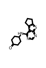 O=C1CCC(Nc2ncnc3sc4c(c23)CCC4)CC1